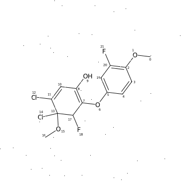 COc1ccc(OC2=C(O)C=C(Cl)C(Cl)(OC)C2F)cc1F